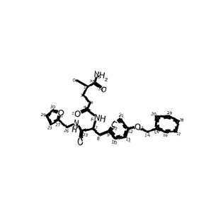 CC(C[CH]C(=O)NC(Cc1ccc(OCc2ccccc2)cc1)C(=O)NCc1ccco1)C(N)=O